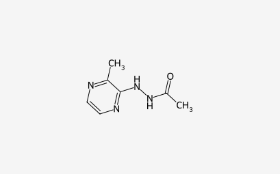 CC(=O)NNc1nccnc1C